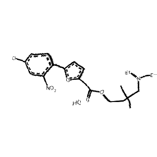 CCN(CC)CC(C)(C)COC(=O)c1ccc(-c2ccc(Cl)cc2[N+](=O)[O-])o1.Cl